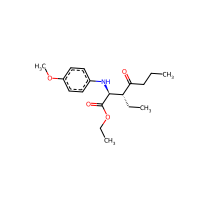 CCCC(=O)[C@H](CC)[C@H](Nc1ccc(OC)cc1)C(=O)OCC